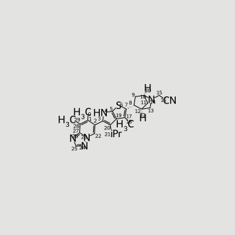 Cc1c(-c2[nH]c3sc([C@@H]4C[C@@H]5C[C@H]4CN5CC#N)c(C)c3c2C(C)C)cn2ncnc2c1C